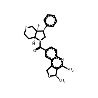 C[C@H]1OCc2c1c(N)nc1ccc(C(=O)N3C[C@H](c4ccccc4)[C@@H]4COCC[C@@H]43)cc21